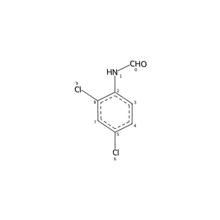 O=CNc1ccc(Cl)cc1Cl